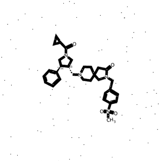 CS(=O)(=O)c1ccc(CN2CC3(CCN(C[C@H]4CN(C(=O)C5CC5)C[C@@H]4c4ccccc4)CC3)CC2=O)cc1